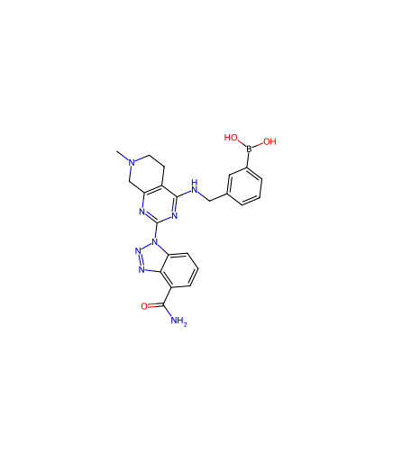 CN1CCc2c(nc(-n3nnc4c(C(N)=O)cccc43)nc2NCc2cccc(B(O)O)c2)C1